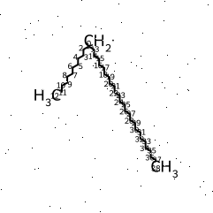 [CH2]C(CCCCCCCCCCC)CCCCCCCCCCCCCCCCCCCCCCCCCC